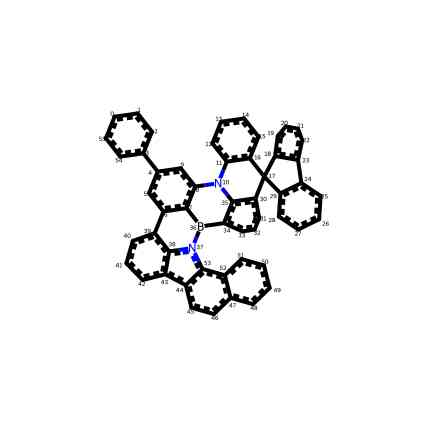 c1ccc(-c2cc3c4c(c2)N2c5ccccc5C5(c6ccccc6-c6ccccc65)c5cccc(c52)B4n2c4c-3cccc4c3ccc4ccccc4c32)cc1